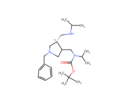 CC(C)NC[C@H]1CN(Cc2ccccc2)CC1CN(C(=O)OC(C)(C)C)C(C)C